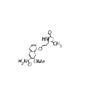 COc1cc2c(OCC[C@H]3NC(=O)C[C@H]3C)cccc2cc1C(N)=O